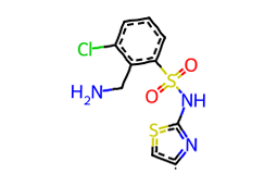 NCc1c(Cl)cccc1S(=O)(=O)Nc1n[c]cs1